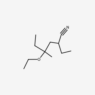 CCOC(C)(CC)CC(C#N)CC